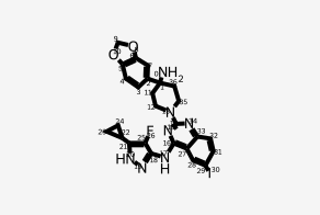 NC1(c2ccc3c(c2)OCO3)CCN(c2nc(Nc3n[nH]c(C4CC4)c3F)c3cc(I)ccc3n2)CC1